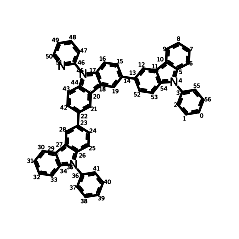 c1ccc(-n2c3ccccc3c3cc(-c4ccc5c(c4)c4cc(-c6ccc7c(c6)c6ccccc6n7-c6ccccc6)ccc4n5-c4ccccn4)ccc32)cc1